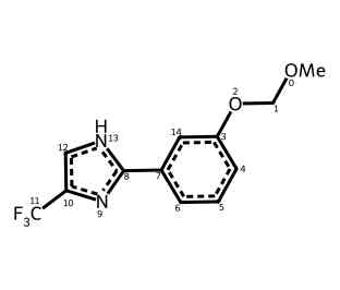 COCOc1cccc(-c2nc(C(F)(F)F)c[nH]2)c1